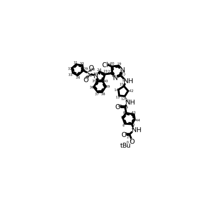 CC(C)(C)OC(=O)Nc1ccc(C(=O)N[C@@H]2CCC(Nc3ncc(Cl)c(-c4cn(S(=O)(=O)c5ccccc5)c5ccccc45)n3)C2)cc1